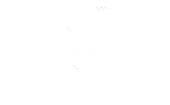 CNCC(=O)N(C)CC(=O)n1ccc2ccc(C)cc21